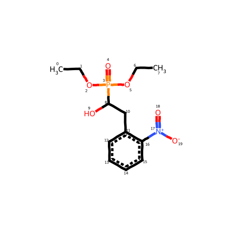 CCOP(=O)(OCC)C(O)Cc1ccccc1[N+](=O)[O-]